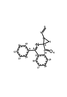 C=CC1CC1(C=O)N=C(c1ccccc1)c1ccccc1